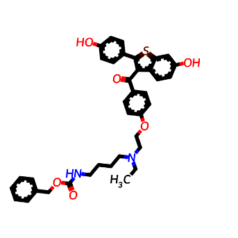 CCN(CCCCNC(=O)OCc1ccccc1)CCOc1ccc(C(=O)c2c(-c3ccc(O)cc3)sc3cc(O)ccc23)cc1